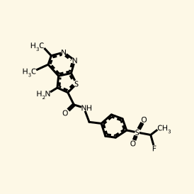 Cc1nnc2sc(C(=O)NCc3ccc(S(=O)(=O)C(C)F)cc3)c(N)c2c1C